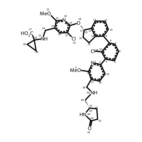 COc1nc(-c2cccc(-c3cccc4c3CC[C@@H]4Oc3nc(OC)c(CNC4(C(=O)O)CC4)cc3Cl)c2Cl)ccc1CNC[C@@H]1CCC(=O)N1